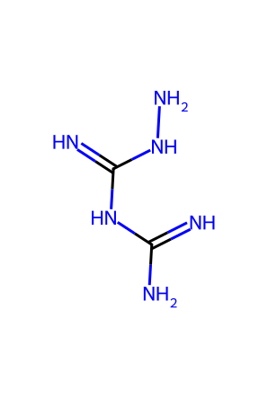 N=C(N)NC(=N)NN